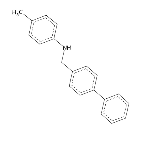 Cc1ccc(NCc2ccc(-c3ccccc3)cc2)cc1